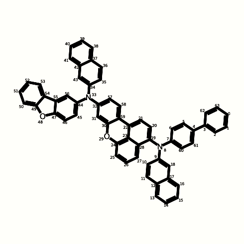 c1ccc(-c2ccc(N(c3ccc4ccccc4c3)c3ccc4c5c(cccc35)Oc3cc(N(c5ccc6ccccc6c5)c5ccc6oc7ccccc7c6c5)ccc3-4)cc2)cc1